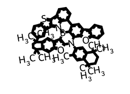 Cc1cc2c(cc1N1c3oc4cc5c(cc4c3B3c4c(cc6c(oc7ccccc76)c41)-c1cccc4c6sc7ccccc7c6n3c14)C(C)(C)CCC5(C)C)C(C)(C)CCC2(C)C